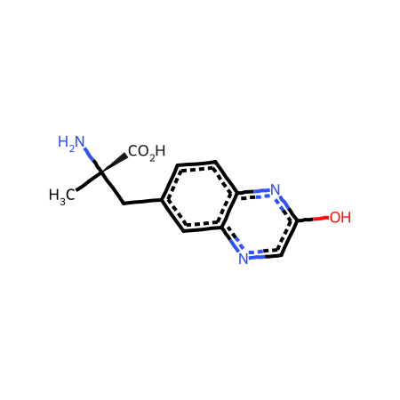 C[C@](N)(Cc1ccc2nc(O)cnc2c1)C(=O)O